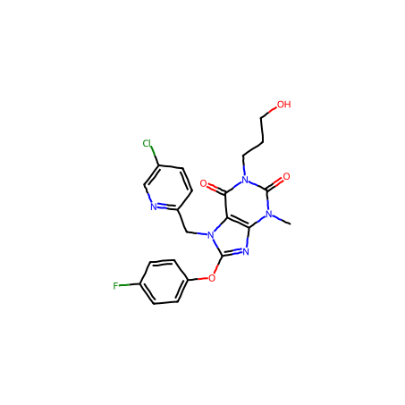 Cn1c(=O)n(CCCO)c(=O)c2c1nc(Oc1ccc(F)cc1)n2Cc1ccc(Cl)cn1